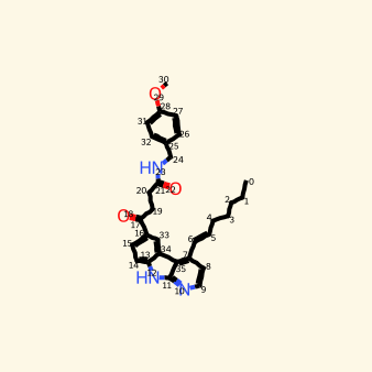 CCCCCC=Cc1ccnc2[nH]c3ccc(C(=O)CCC(=O)NCc4ccc(OC)cc4)cc3c12